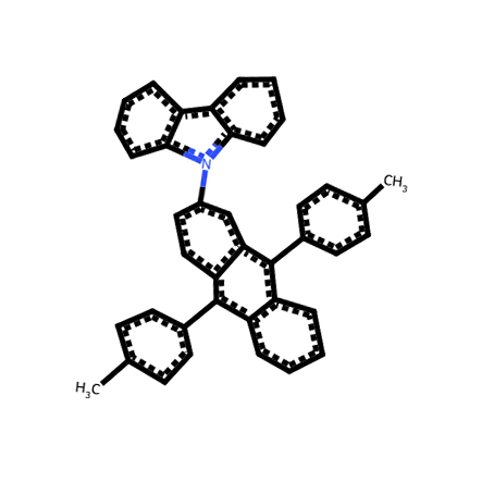 Cc1ccc(-c2c3ccccc3c(-c3ccc(C)cc3)c3cc(-n4c5ccccc5c5ccccc54)ccc23)cc1